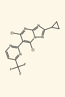 FC(F)(F)c1ccnc(-c2c(Cl)nc3nc(C4CC4)nn3c2Cl)n1